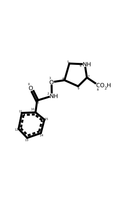 O=C(NOC1CNC(C(=O)O)C1)c1ccccc1